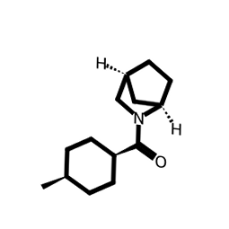 C[C@H]1CC[C@@H](C(=O)N2C[C@H]3CC[C@@H]2C3)CC1